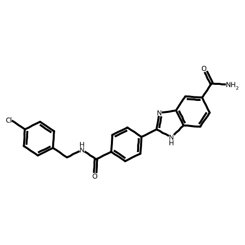 NC(=O)c1ccc2[nH]c(-c3ccc(C(=O)NCc4ccc(Cl)cc4)cc3)nc2c1